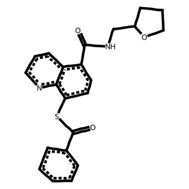 O=C(Sc1ccc(C(=O)NCC2CCCO2)c2cccnc12)c1ccccc1